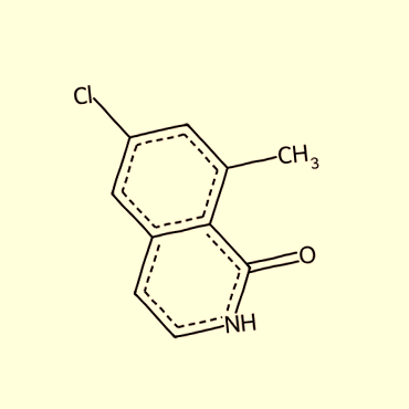 Cc1cc(Cl)cc2cc[nH]c(=O)c12